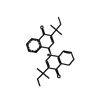 CCC(C)(C)C1=C[C@@H](C2C=C(C(C)(C)CC)C(=O)c3ccccc32)C2=C(CCC=C2)C1=O